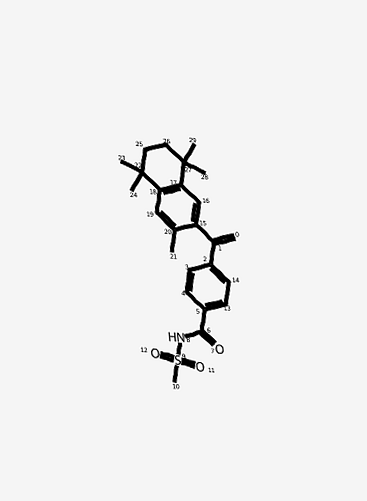 C=C(c1ccc(C(=O)NS(C)(=O)=O)cc1)c1cc2c(cc1C)C(C)(C)CCC2(C)C